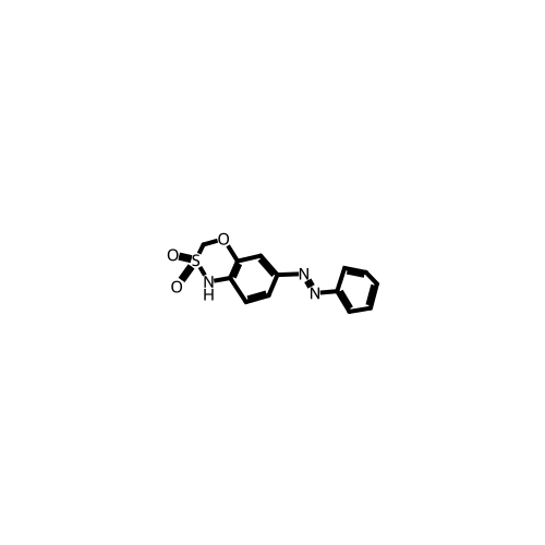 O=S1(=O)COc2cc(N=Nc3ccccc3)ccc2N1